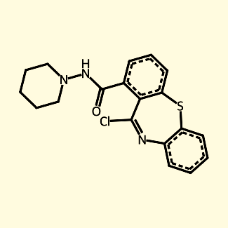 O=C(NN1CCCCC1)c1cccc2c1C(Cl)=Nc1ccccc1S2